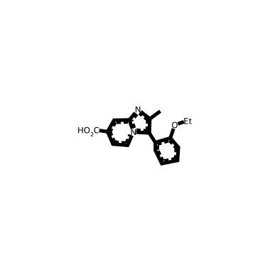 CCOc1ccccc1-c1c(C)nc2cc(C(=O)O)ccn12